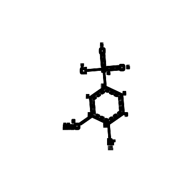 COc1cc(S(=O)(=O)Cl)ccc1Br